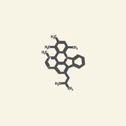 Cc1cc(C)c2c(c1C)c1c3c(cc(CC(C)C)c4c5ccccc5n2c43)nc[n+]1C